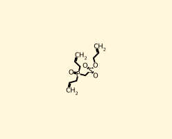 C=CCOS(=O)(=O)CP(=O)(CC=C)CC=C